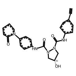 C#Cc1ccc(NC(=O)N2C[C@H](O)CN2C(=O)Nc2ccc(-n3ccccc3=O)cc2)cc1